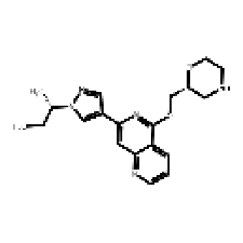 CC[C@H](C)n1cc(-c2cc3ncccc3c(OC[C@@H]3CNCCO3)n2)cn1